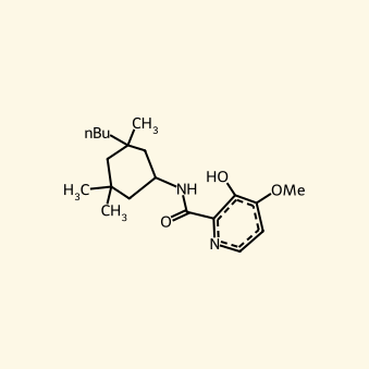 CCCCC1(C)CC(NC(=O)c2nccc(OC)c2O)CC(C)(C)C1